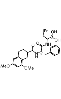 COc1cc2c(c(OC)c1)CC(C(=O)N[C@@H](Cc1ccccc1)C(=O)NC(CC(C)C)B(O)O)CC2